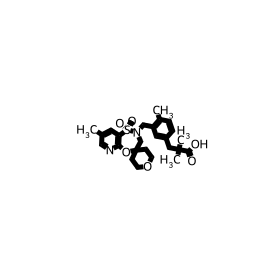 Cc1cnc2c(c1)S(=O)(=O)N(Cc1cc(CC(C)(C)C(=O)O)ccc1C)CC1(CCOCC1)O2